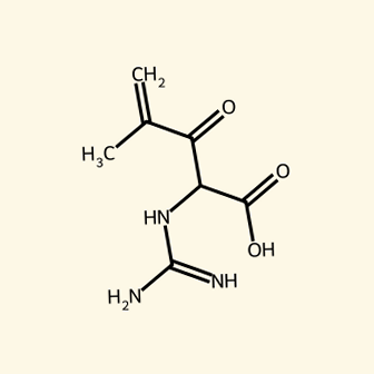 C=C(C)C(=O)C(NC(=N)N)C(=O)O